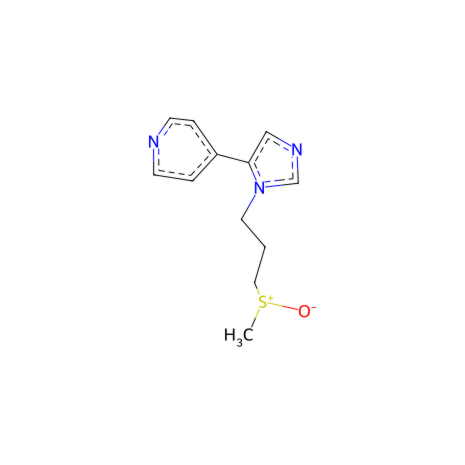 C[S+]([O-])CCCn1cncc1-c1ccncc1